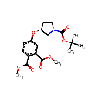 COC(=O)c1ccc(O[C@@H]2CCN(C(=O)OC(C)(C)C)C2)cc1C(=O)OC